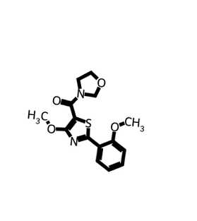 COc1ccccc1-c1nc(OC)c(C(=O)N2CCOC2)s1